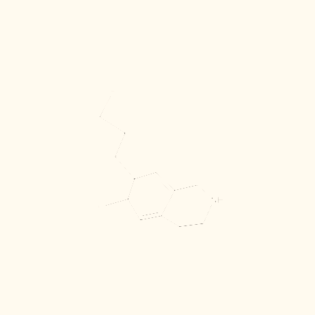 OC1C=C2CCNCC2=CC1CCCF